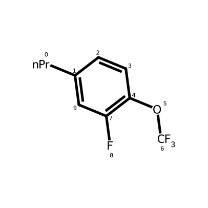 CCCc1ccc(OC(F)(F)F)c(F)c1